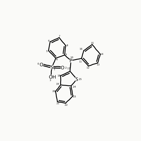 O=S(=O)(O)c1ccccc1P(c1ccccc1)c1cc2ccccc2s1